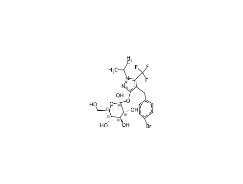 CC(C)n1nc(O[C@]2(O)O[C@H](CO)[C@@H](O)[C@H](O)[C@H]2O)c(Cc2ccc(Br)cc2)c1C(F)(F)F